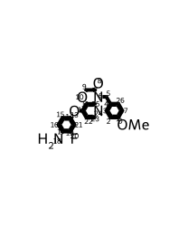 COc1ccc(CN2C(=O)COc3c(Oc4ccc(N)c(F)c4)ccnc32)cc1